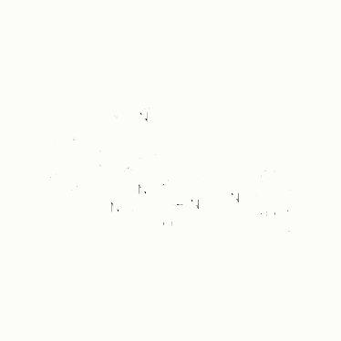 CC(C)(C)OC(=O)N1CCN(C(=O)Cn2cnc(-c3ccc(F)cc3)c2-c2ccncc2)CC1